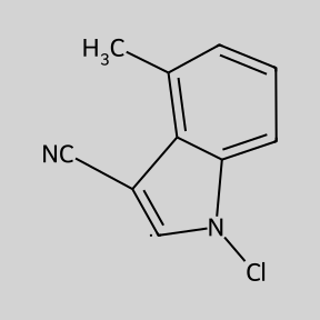 Cc1cccc2c1c(C#N)[c]n2Cl